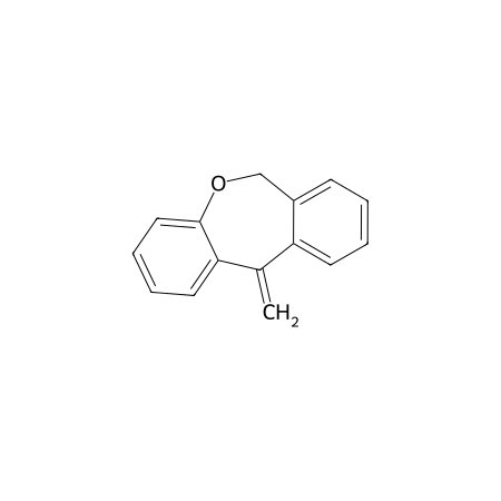 C=C1c2ccccc2COc2ccccc21